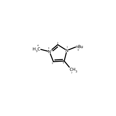 CCCCn1c[n+](C)cc1C